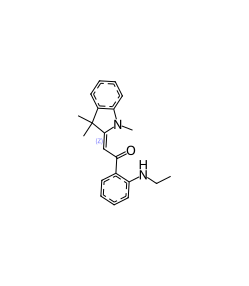 CCNc1ccccc1C(=O)/C=C1\N(C)c2ccccc2C1(C)C